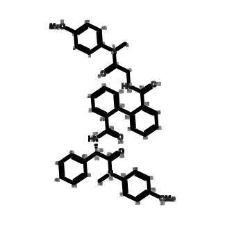 COc1ccc(N(C)C(=O)CNC(=O)c2ccccc2-c2ccccc2C(=O)N[C@H](C(=O)N(C)c2ccc(OC)cc2)c2ccccc2)cc1